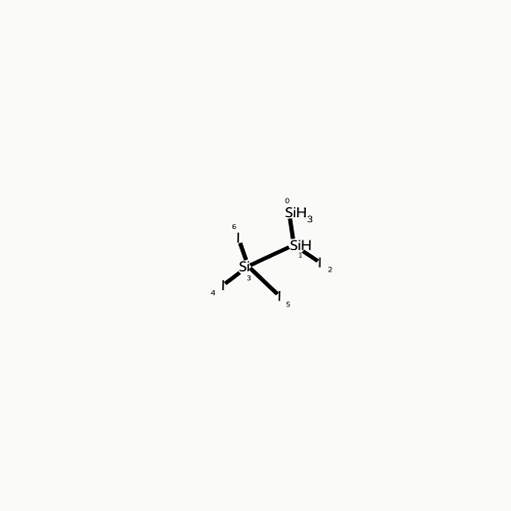 [SiH3][SiH](I)[Si](I)(I)I